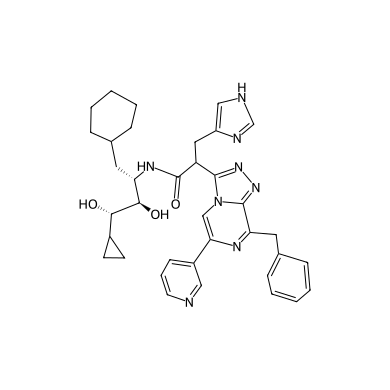 O=C(N[C@@H](CC1CCCCC1)[C@@H](O)[C@@H](O)C1CC1)C(Cc1c[nH]cn1)c1nnc2c(Cc3ccccc3)nc(-c3cccnc3)cn12